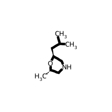 CC(C)C[C@H]1CNC[C@H](C)O1